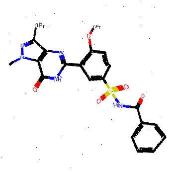 CCCOc1ccc(S(=O)(=O)NC(=O)c2ccccc2)cc1-c1nc2c(CCC)nn(C)c2c(=O)[nH]1